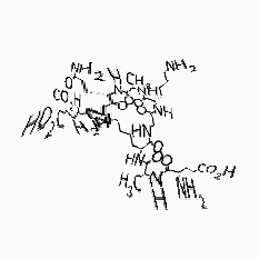 C[C@H](NC(=O)[C@H](CCCCN)NC(=O)CNC(=O)[C@H](CCCCN)NC(=O)[C@H](C)NC(=O)[C@@H](N)CCC(=O)O)C(=O)N[C@@H](CCC(N)=O)C(=O)N[C@@H](CCC(=O)O)C(=O)O